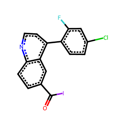 O=C(I)c1ccc2nccc(-c3ccc(Cl)cc3F)c2c1